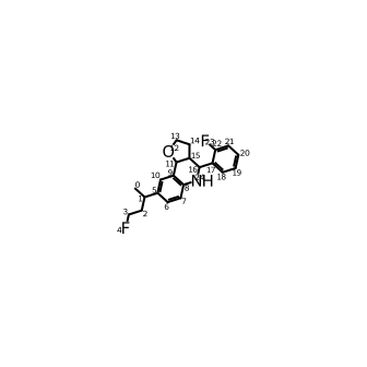 CC(CCF)c1ccc2c(c1)C1OCCC1C(c1ccccc1F)N2